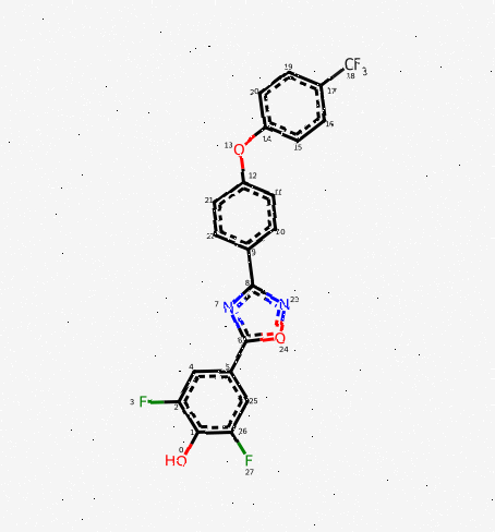 Oc1c(F)cc(-c2nc(-c3ccc(Oc4ccc(C(F)(F)F)cc4)cc3)no2)cc1F